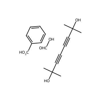 CC(C)(O)C#CC#CC(C)(C)O.O=C(O)c1ccccc1.O=CO